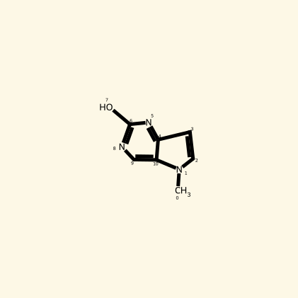 Cn1ccc2nc(O)ncc21